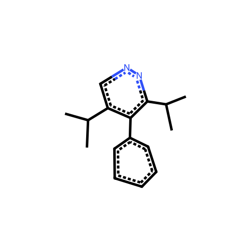 CC(C)c1cnnc(C(C)C)c1-c1ccccc1